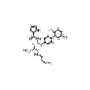 COCCNC[C@H](C[C@@H](Cc1ccc(-c2cc(Cl)ccc2F)cc1)NC(=O)c1cnn[nH]1)C(=O)O